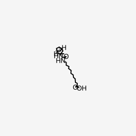 CC1(NC(=O)NCCCCCCCCCCCC(=O)O)C[C@@H]2CC[C@@H](C2)C1